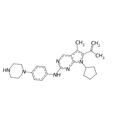 C=C(C)c1c(C)c2cnc(Nc3ccc(N4CCNCC4)cc3)nc2n1C1CCCC1